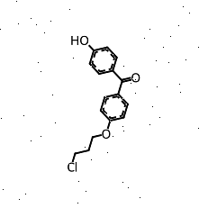 O=C(c1ccc(O)cc1)c1ccc(OCCCCl)cc1